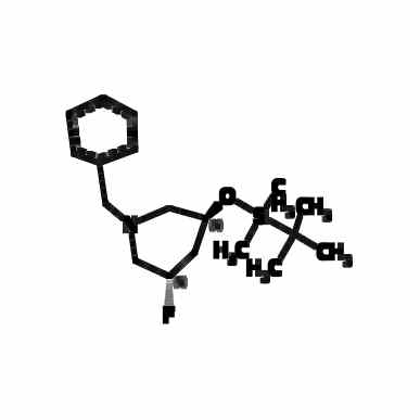 CC(C)(C)[Si](C)(C)O[C@H]1C[C@H](F)CN(Cc2ccccc2)C1